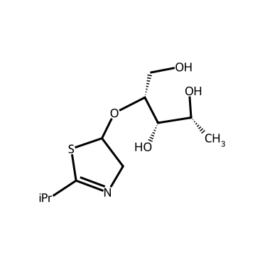 CC(C)C1=NCC(O[C@H](CO)[C@@H](O)[C@@H](C)O)S1